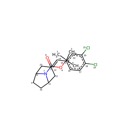 CC(C)(C)OC(=O)N1C2CCC1CC(=Cc1ccc(Cl)c(Cl)c1)C2